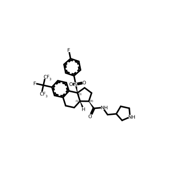 O=C(NCC1CCNC1)[C@@H]1CC[C@@]2(S(=O)(=O)c3ccc(F)cc3)c3ccc(C(F)(C(F)(F)F)C(F)(F)F)cc3CC[C@@H]12